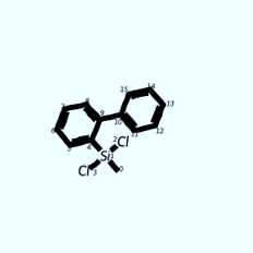 C[Si](Cl)(Cl)c1ccccc1-c1ccccc1